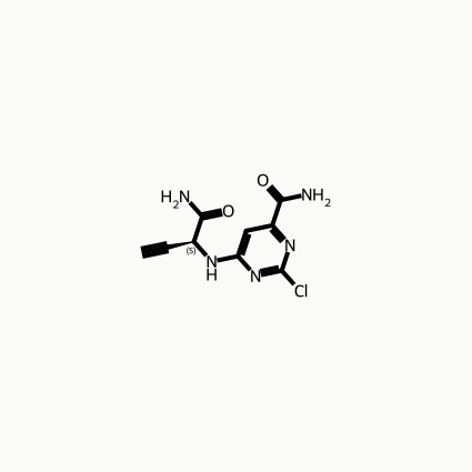 C#C[C@H](Nc1cc(C(N)=O)nc(Cl)n1)C(N)=O